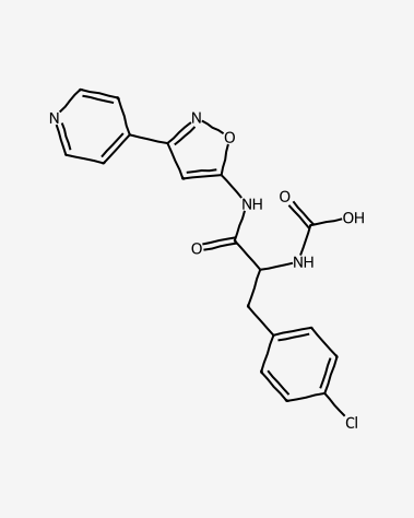 O=C(O)NC(Cc1ccc(Cl)cc1)C(=O)Nc1cc(-c2ccncc2)no1